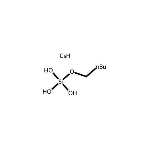 CCCCCO[Si](O)(O)O.[CsH]